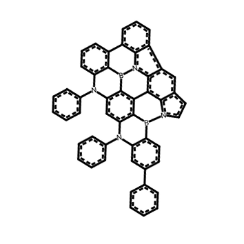 c1ccc(-c2ccc3c(c2)N(c2ccccc2)c2cc4c5c6c2B3n2ccc3cc7c8cccc9c8n(c7c-6c32)B5c2c-9cccc2N4c2ccccc2)cc1